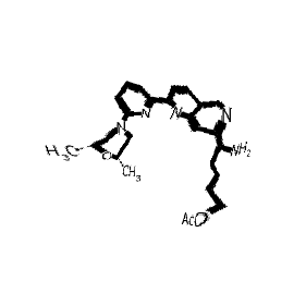 CC(=O)OCCCCC(N)c1cc2nc(-c3cccc(N4C[C@@H](C)O[C@@H](C)C4)n3)ccc2cn1